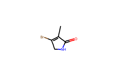 CC1=C(Br)CNC1=O